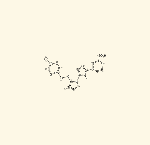 Cn1ncc(-c2noc(-c3cccc(S(=O)(=O)O)c3)n2)c1COc1ccc(C(F)(F)F)cc1